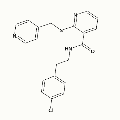 O=C(NCCc1ccc(Cl)cc1)c1cccnc1SCc1ccncc1